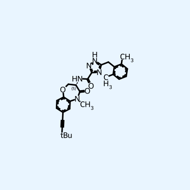 Cc1cccc(C)c1Cc1nc(C(=O)N[C@H]2COc3ccc(C#CC(C)(C)C)cc3N(C)C2=O)n[nH]1